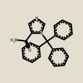 BC(=O)c1cncn1C(c1ccccc1)(c1ccccc1)c1ccccc1